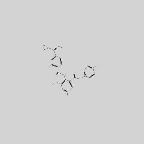 C/N=C(\c1ccc(C(=O)Nc2c(OC)cc(Cl)cc2C(=O)Nc2ccc(Cl)cn2)c(Cl)c1)N1CC1